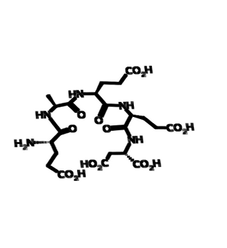 C[C@H](NC(=O)[C@@H](N)CCC(=O)O)C(=O)N[C@@H](CCC(=O)O)C(=O)N[C@@H](CCC(=O)O)C(=O)N[C@@H](CC(=O)O)C(=O)O